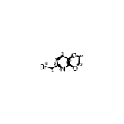 BrCc1ccc2c(n1)OCCO2